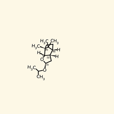 CC(C)O[C@@H]1C[C@H]2[C@H]3CC[C@@](C)([C@H]2O1)C3(C)C